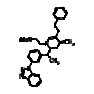 C=C1C=C(C(C)c2cccc(-n3nnc4ccccc43)c2)N(CCNC)C=C1CCc1ccccc1